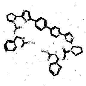 COC(=O)N[C@@H](CC(=O)N1CCCC1c1ncc(-c2ccc(-c3ccc(-c4cnc([C@@H]5CCCN5C(=O)C[C@H](NC(=O)OC)c5ccccc5)[nH]4)cc3)cc2)[nH]1)c1ccccc1